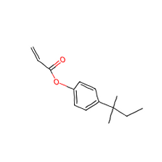 C=CC(=O)Oc1ccc(C(C)(C)CC)cc1